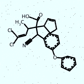 CC(C=C(Cl)Cl)C(C(=O)O)(C1C=CCC1)C(C#N)c1cccc(Oc2ccccc2)c1